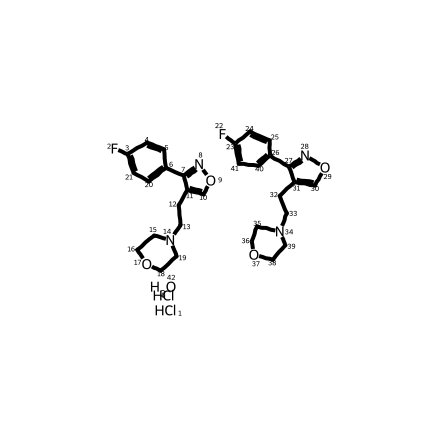 Cl.Cl.Fc1ccc(-c2nocc2CCN2CCOCC2)cc1.Fc1ccc(-c2nocc2CCN2CCOCC2)cc1.O